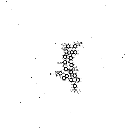 Cc1ccc(N(c2ccc([Si](C)(C)C)cc2)c2cc3c(c4ccccc24)-c2ccc(N(c4ccc([Si](C)(C)C)cc4)c4ccc(C)c(Cc5cccc(N(c6ccc([Si](C)(C)C)cc6)c6cc7c(c8ccccc68)-c6ccc(N(c8ccccc8)c8ccc([Si](C)(C)C)cc8)cc6C7(c6ccccc6)c6ccccc6)c5)c4)cc2C3(c2ccccc2)c2ccccc2)cc1C